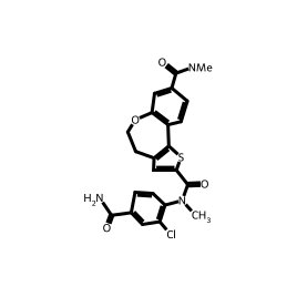 CNC(=O)c1ccc2c(c1)OCCc1cc(C(=O)N(C)c3ccc(C(N)=O)cc3Cl)sc1-2